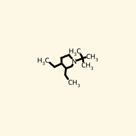 CCC1CCN(C(C)(C)C)CC1CC